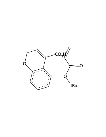 C=CC(=O)OC(C)(C)C.O=C(O)C1=CCOc2ccccc21